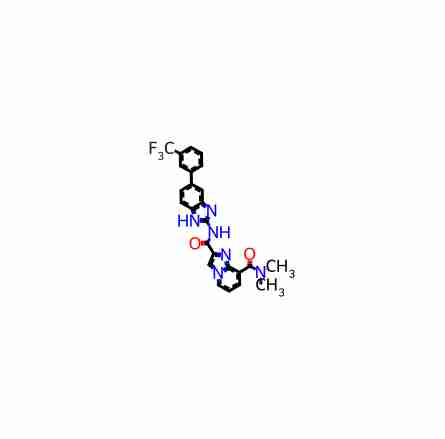 CN(C)C(=O)c1cccn2cc(C(=O)Nc3nc4cc(-c5cccc(C(F)(F)F)c5)ccc4[nH]3)nc12